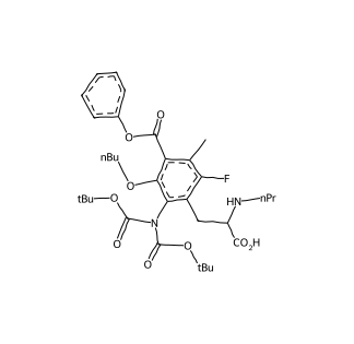 CCCCOc1c(C(=O)Oc2ccccc2)c(C)c(F)c(CC(NCCC)C(=O)O)c1N(C(=O)OC(C)(C)C)C(=O)OC(C)(C)C